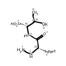 CCCCC[C@H](NN)C(=O)N[C@H](C(=O)O)[C@@H](C)O